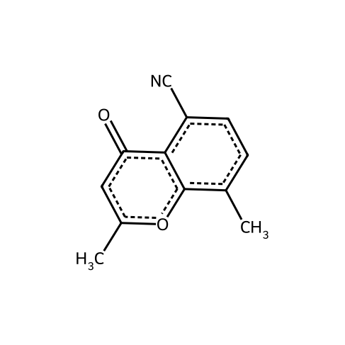 Cc1cc(=O)c2c(C#N)ccc(C)c2o1